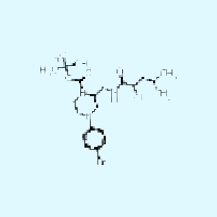 CC(C)CC(Cl)C(=O)NCC1CN(c2ccc(Br)cc2)CCN1C(=O)OC(C)(C)C